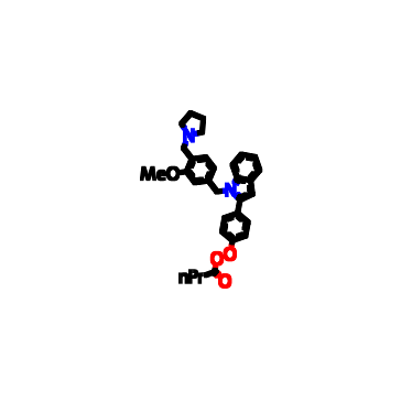 CCCC(=O)OOc1ccc(-c2cc3ccccc3n2Cc2ccc(CN3CCCC3)c(OC)c2)cc1